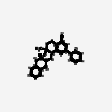 CC1(C)CCn2c(nc(-c3ccncn3)cc2=O)N1CC1COc2ccccc2O1